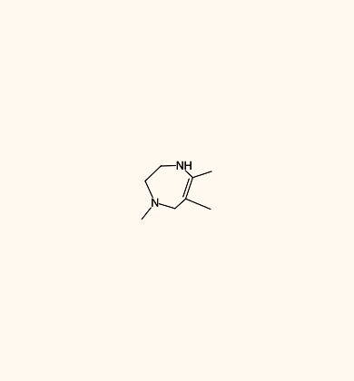 CC1=C(C)NCCN(C)C1